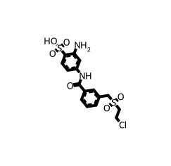 Nc1cc(NC(=O)c2cccc(CS(=O)(=O)CCCl)c2)ccc1S(=O)(=O)O